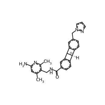 Cc1cc(N)nc(C)c1CNC(=O)c1ccc2c(c1)C1c3cc(Cn4cccn4)ccc3[C@@H]21